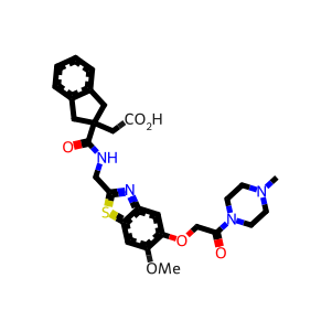 COc1cc2sc(CNC(=O)C3(CC(=O)O)Cc4ccccc4C3)nc2cc1OCC(=O)N1CCN(C)CC1